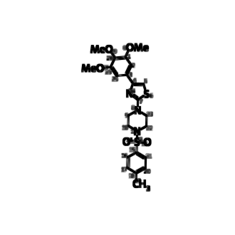 COc1cc(-c2csc(N3CCN(S(=O)(=O)c4ccc(C)cc4)CC3)n2)cc(OC)c1OC